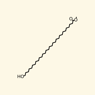 COC(=O)CCCCCCCCCCCCCCCCCCCCCCCCCCCCCO